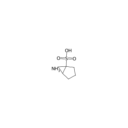 N.O=S(=O)(O)C12CCCC1C2